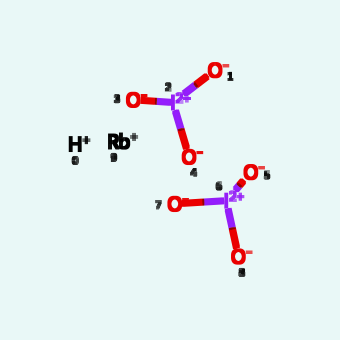 [H+].[O-][I+2]([O-])[O-].[O-][I+2]([O-])[O-].[Rb+]